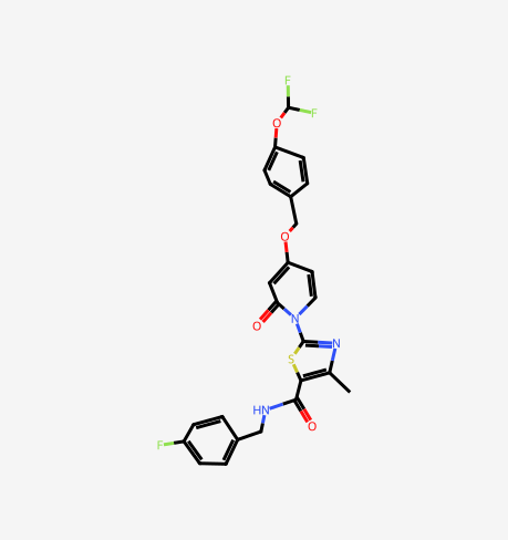 Cc1nc(-n2ccc(OCc3ccc(OC(F)F)cc3)cc2=O)sc1C(=O)NCc1ccc(F)cc1